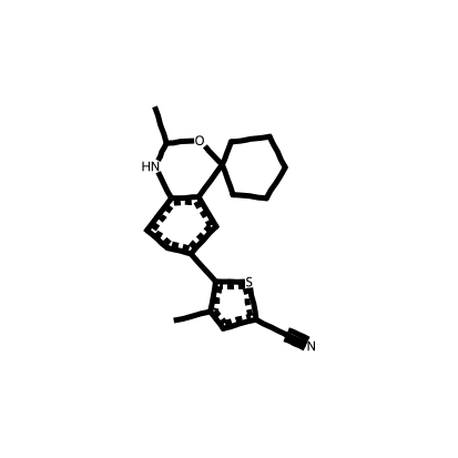 Cc1cc(C#N)sc1-c1ccc2c(c1)C1(CCCCC1)OC(C)N2